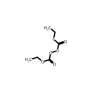 CCOC(=O)OOC(=O)SCC